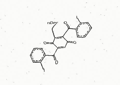 CCCCCCCCCCCC1=C(C(=O)c2ccccc2I)C(=O)C=C(C(=O)c2ccccc2I)C1=O